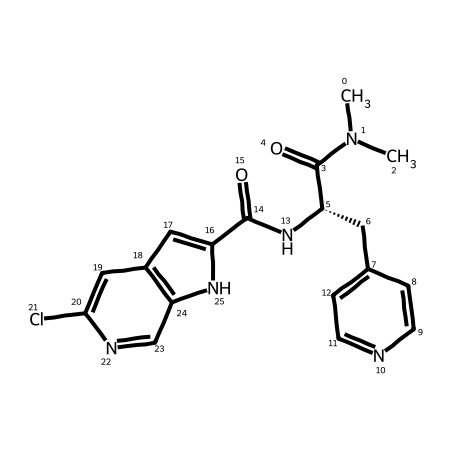 CN(C)C(=O)[C@H](Cc1ccncc1)NC(=O)c1cc2cc(Cl)ncc2[nH]1